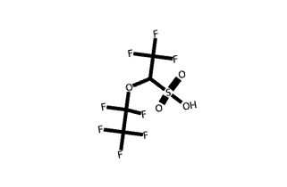 O=S(=O)(O)C(OC(F)(F)C(F)(F)F)C(F)(F)F